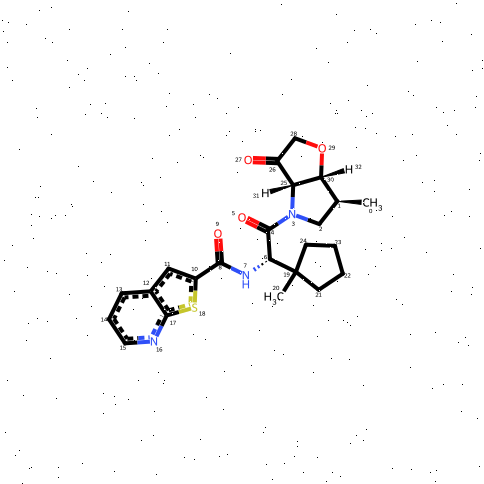 C[C@H]1CN(C(=O)[C@@H](NC(=O)c2cc3cccnc3s2)C2(C)CCCC2)[C@@H]2C(=O)CO[C@@H]21